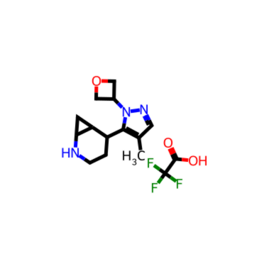 Cc1cnn(C2COC2)c1C1CCNC2CC21.O=C(O)C(F)(F)F